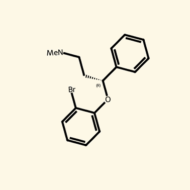 CNCC[C@@H](Oc1ccccc1Br)c1ccccc1